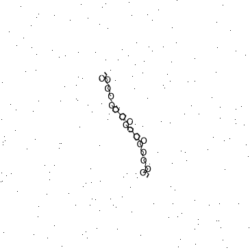 C=CC(=O)OCCOCCOCCOC(=O)c1ccc(-c2ccc(OC(=O)c3ccc(-c4ccc(OCCOCCOCCOC(=O)C=C)cc4)cc3)cc2)cc1